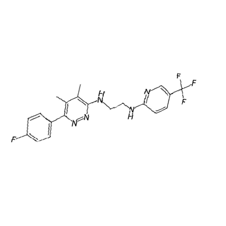 Cc1c(NCCNc2ccc(C(F)(F)F)cn2)nnc(-c2ccc(F)cc2)c1C